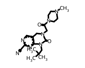 CN1CCN(C(=O)CN2Cc3cnc(C#N)nc3N(CC(C)(C)C)C2=O)CC1